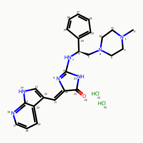 CN1CCN(C[C@@H](NC2=N/C(=C\c3c[nH]c4ncccc34)C(=O)N2)c2ccccc2)CC1.Cl.Cl